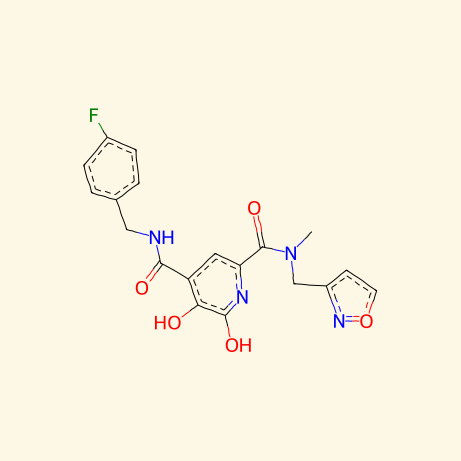 CN(Cc1ccon1)C(=O)c1cc(C(=O)NCc2ccc(F)cc2)c(O)c(O)n1